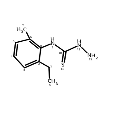 CCc1cccc(C)c1NC(=S)NN